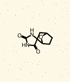 O=C1NC(=O)C2(CC3CCC2O3)N1